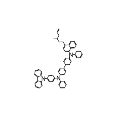 C=CCC(C)CCc1ccc(N(c2ccccc2)c2ccc(-c3ccc(N(c4ccccc4)c4ccc(-n5c6ccccc6c6ccccc65)cc4)cc3)cc2)c2ccccc12